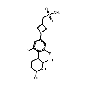 CS(=O)(=O)CC1CN(c2cc(F)c(C3CCC(O)NC3O)c(F)c2)C1